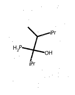 CC(C)C(C)C(O)(P)C(C)C